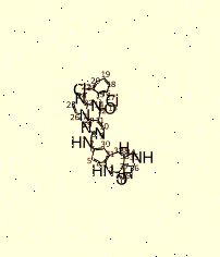 O=C1Nc2ccc(Nc3ncc4c(=O)n(-c5c(Cl)cccc5Cl)c5nccn5c4n3)cc2C[C@@H]2CNC[C@@H]12